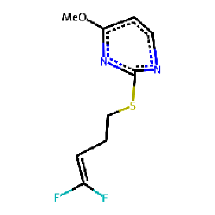 COc1ccnc(SCCC=C(F)F)n1